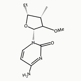 CC[C@H]1O[C@@H](n2ccc(N)nc2=O)C(OC)[C@H]1C